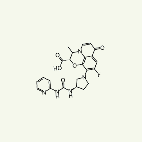 CC1[C@@H](C(=O)O)Oc2c(N3CC[C@@H](NC(=O)Nc4ccccn4)C3)c(F)cc3c(=O)ccn1c23